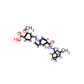 COc1cc(Cn2ccc3cc(C(=O)NCC45CC(C)CC6(CC6C4)C5)ccc32)ccc1C(=O)O